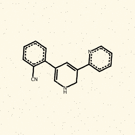 N#Cc1ccccc1C1=CNCC(c2ccccn2)=[C]1